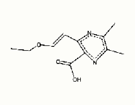 CCO/C=C/c1nc(C)c(C)nc1C(=O)O